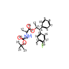 Cc1cc([C@H](c2ccccc2)[C@H](C)OC(=O)[C@H](C)NC(=O)OC(C)(C)C)ccc1F